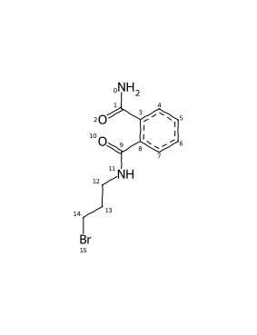 NC(=O)c1ccccc1C(=O)NCCCBr